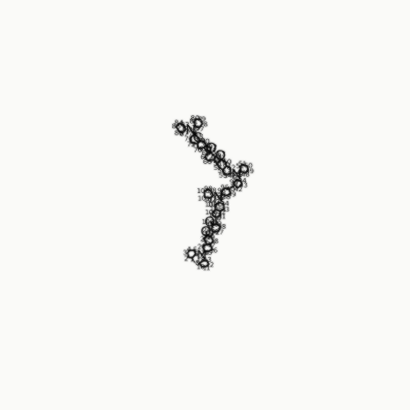 Cc1ccccc1N(c1ccccc1)c1ccc2cc3c(cc2c1)oc1c3ccc2c3cc4ccc(N(c5ccc(-c6cccc(N(c7ccccc7)c7ccc8cc9c(cc8c7)oc7c9ccc8c9cc%10ccc(N(c%11ccccc%11)c%11ccccc%11)cc%10cc9oc87)c6)cc5)c5ccccc5C)cc4cc3oc21